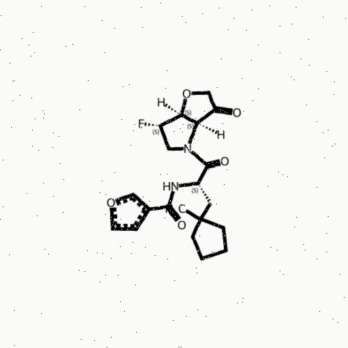 CC1(C[C@H](NC(=O)c2ccoc2)C(=O)N2C[C@H](F)[C@H]3OCC(=O)[C@H]32)CCCC1